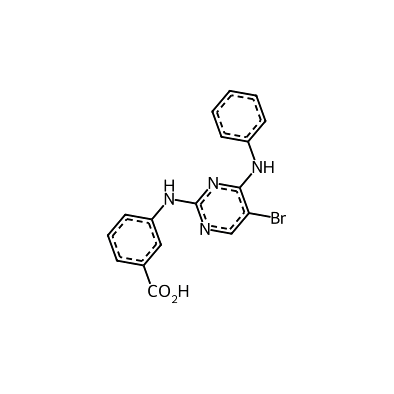 O=C(O)c1cccc(Nc2ncc(Br)c(Nc3ccccc3)n2)c1